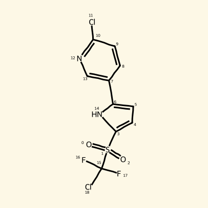 O=S(=O)(c1ccc(-c2ccc(Cl)nc2)[nH]1)C(F)(F)Cl